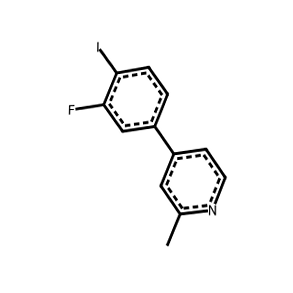 Cc1cc(-c2ccc(I)c(F)c2)ccn1